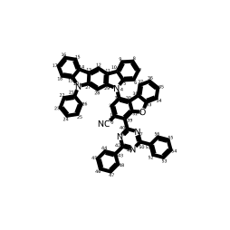 N#Cc1cc(-n2c3ccccc3c3cc4c5ccccc5n(-c5ccccc5)c4cc32)c2c(oc3ccccc32)c1-c1nc(-c2ccccc2)nc(-c2ccccc2)n1